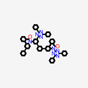 O=c1c2ccccc2c2cc(-c3ccccc3)ccc2n1-c1cc(-c2cccc(-c3ccc4c(c3)c3ccccc3c(=O)n4-c3nc(-c4ccccc4)nc(-c4ccccc4)n3)c2)cc(-c2nc(-c3ccccc3)nc(-c3ccccc3)n2)c1